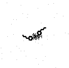 CCCCc1ccc(NC(=NC)Nc2ccc(CCCC)cc2)cc1